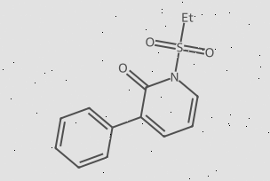 CCS(=O)(=O)n1cccc(-c2ccccc2)c1=O